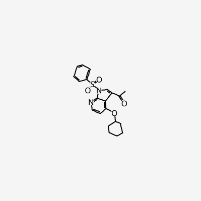 CC(=O)c1cn(S(=O)(=O)c2ccccc2)c2nccc(OC3CCCCC3)c12